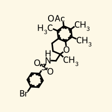 CC(=O)Oc1c(C)c(C)c2c(c1C)CCC(C)(CNS(=O)(=O)c1ccc(Br)cc1)O2